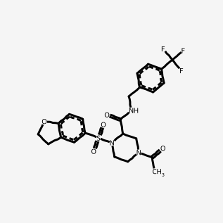 CC(=O)N1CCN(S(=O)(=O)c2ccc3c(c2)CCO3)C(C(=O)NCc2ccc(C(F)(F)F)cc2)C1